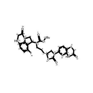 CC(C)(C)OC(=O)N(CCC[C@@H]1CN(c2ccc3c(n2)NC(=O)CS3)C(=O)O1)C1CN2C(=O)CNc3ccc(F)c1c32